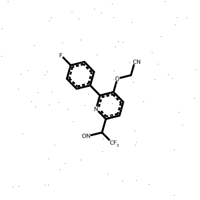 N#CCOc1ccc(C(N=O)C(F)(F)F)nc1-c1ccc(F)cc1